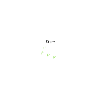 [Cm+4].[F-].[F-].[F-].[F-]